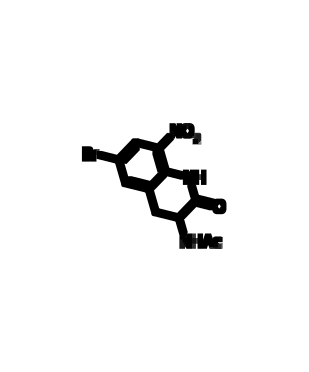 CC(=O)NC1Cc2cc(Br)cc([N+](=O)[O-])c2NC1=O